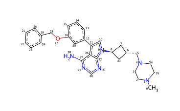 CN1CCN(C[C@H]2C[C@H](n3cc(-c4cccc(OCc5ccccc5)c4)c4c(N)ncnc43)C2)CC1